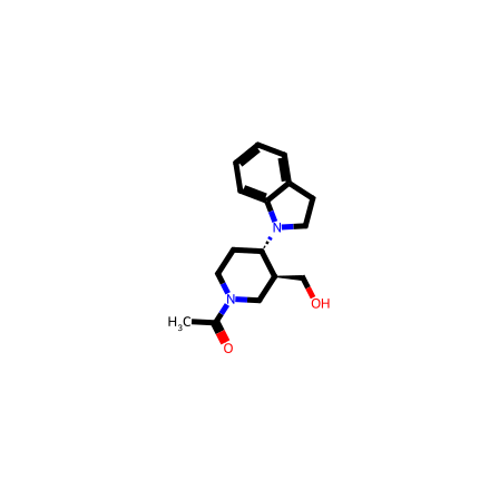 CC(=O)N1CC[C@H](N2CCc3ccccc32)[C@@H](CO)C1